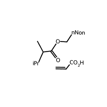 C=CC(=O)O.CCCCCCCCCCOC(=O)C(C)C(C)C